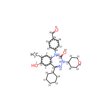 Cc1cc2c(cc1O)C(C1CCCCC1)=NN(C1CCOCC1)C(=O)N2c1ccc(C=O)cc1